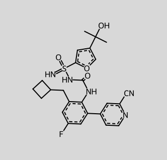 CC(C)(O)c1coc(S(=N)(=O)NC(=O)Nc2c(CC3CCC3)cc(F)cc2-c2ccnc(C#N)c2)c1